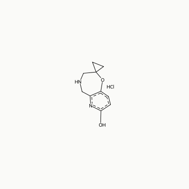 Cl.Oc1ccc2c(n1)CNCC1(CC1)O2